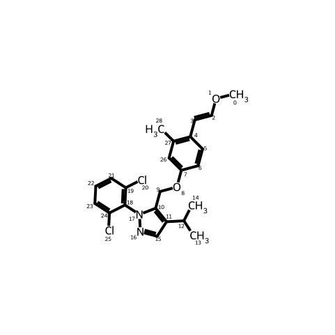 COC=Cc1ccc(OCc2c(C(C)C)cnn2-c2c(Cl)cccc2Cl)cc1C